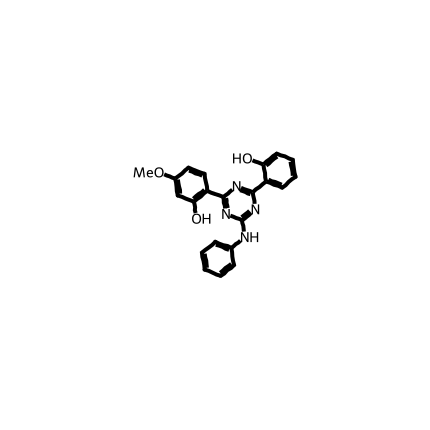 COc1ccc(-c2nc(Nc3ccccc3)nc(-c3ccccc3O)n2)c(O)c1